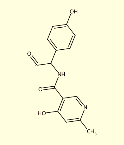 Cc1cc(O)c(C(=O)NC([C]=O)c2ccc(O)cc2)cn1